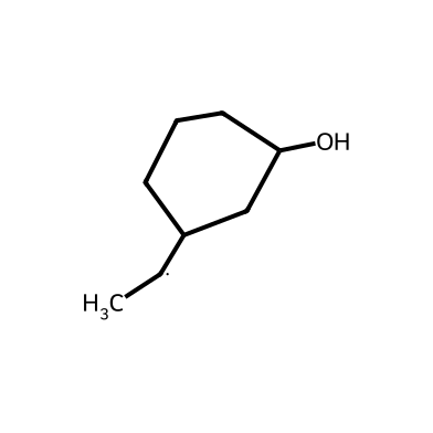 C[CH]C1CCCC(O)C1